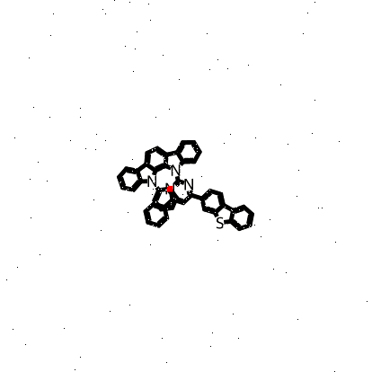 c1ccc(-c2cc(-c3ccc4c(c3)sc3ccccc34)nc(-n3c4ccccc4c4ccc5c6ccccc6n(-c6ccccc6)c5c43)n2)cc1